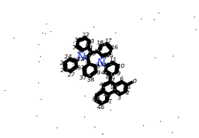 Cc1ccc2c(c1)c(-c1cccc(N3c4ccccc4-c4c(n(-c5ccccc5)c5ccccc45)C4C=CC=CC43)c1)cc1ccccc12